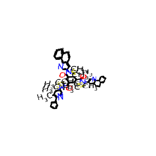 Cc1cc(N(C(=O)C2CC(C(=O)N(c3cnc4c(ccc5ccccc54)c3)S(C)(C)C)CC(C(=O)N(c3cnc4c(ccc5ccccc54)c3)S(C)(C)C)C2)S(C)(C)C)cnc1-c1ccccc1